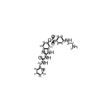 CN(C)CCNc1ccc(S(=O)(=O)Oc2ccc3nc(NC(=O)NCc4ccccn4)[nH]c3c2)cc1